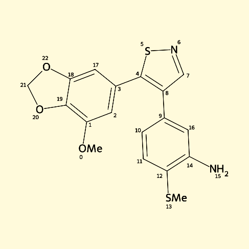 COc1cc(-c2sncc2-c2ccc(SC)c(N)c2)cc2c1OCO2